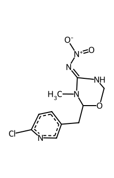 CN1C(=N[N+](=O)[O-])NCOC1Cc1ccc(Cl)nc1